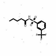 CCCCC(=O)NS(=O)(=O)c1cccc(C(F)(F)F)c1